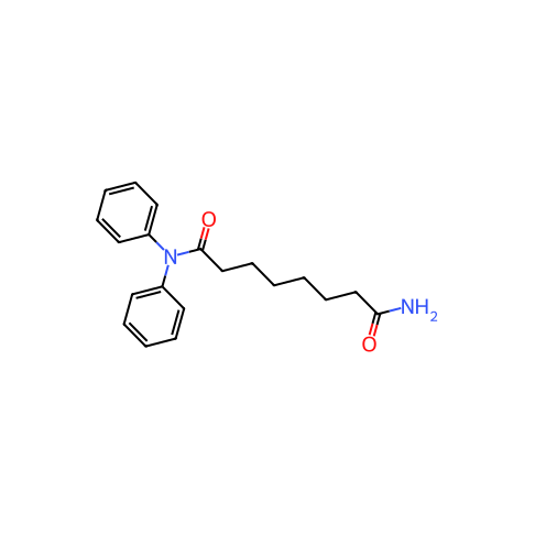 NC(=O)CCCCCCC(=O)N(c1ccccc1)c1ccccc1